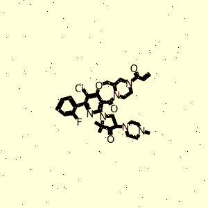 C=CC(=O)N1CCN2C(=O)c3c(N4CC(N5CCN(C)CC5)C(=O)C4(C)C)nc(-c4ccccc4F)c(Cl)c3OCC2C1